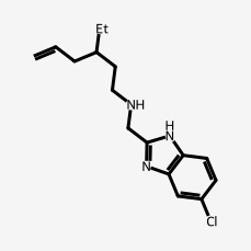 C=CCC(CC)CCNCc1nc2cc(Cl)ccc2[nH]1